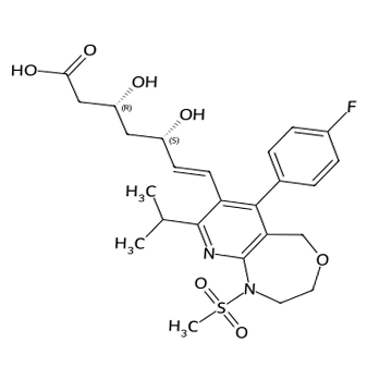 CC(C)c1nc2c(c(-c3ccc(F)cc3)c1C=C[C@@H](O)C[C@@H](O)CC(=O)O)COCCN2S(C)(=O)=O